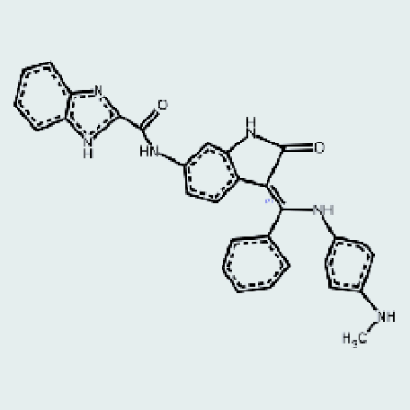 CNc1ccc(N/C(=C2\C(=O)Nc3cc(NC(=O)c4nc5ccccc5[nH]4)ccc32)c2ccccc2)cc1